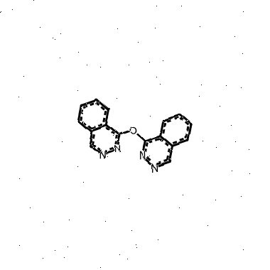 c1ccc2c(Oc3nncc4ccccc34)nncc2c1